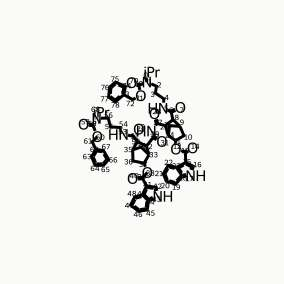 CC(C)N(CCCNC(=O)C1C2CC(OC(=O)c3c[nH]c4ccccc34)C(C2)C1C(=O)NC(=O)C1C2CC(CC2OC(=O)c2c[nH]c3ccccc23)C1C(=O)NCCCN(C(=O)OCc1ccccc1)C(C)C)C(=O)OCc1ccccc1